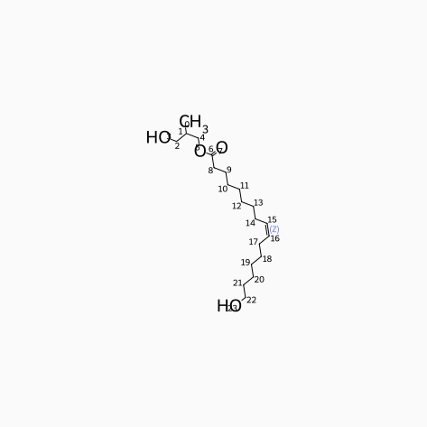 CC(CO)COC(=O)CCCCCCC/C=C\CCCCCCO